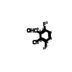 O=Cc1c(F)ccc(F)c1Cl